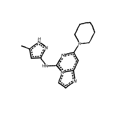 Cc1cc(Nc2nc(N3CCCCC3)cc3nccn23)n[nH]1